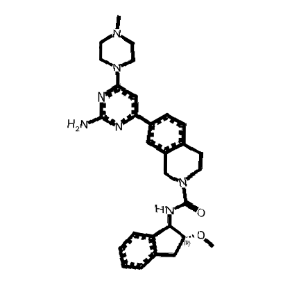 CO[C@@H]1Cc2ccccc2C1NC(=O)N1CCc2ccc(-c3cc(N4CCN(C)CC4)nc(N)n3)cc2C1